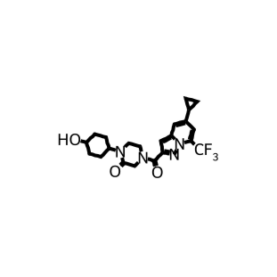 O=C(c1cc2cc(C3CC3)cc(C(F)(F)F)n2n1)N1CCN(C2CCC(O)CC2)C(=O)C1